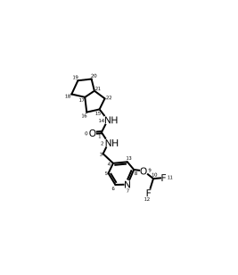 O=C(NCc1ccnc(OC(F)F)c1)NC1CC2CCCC2C1